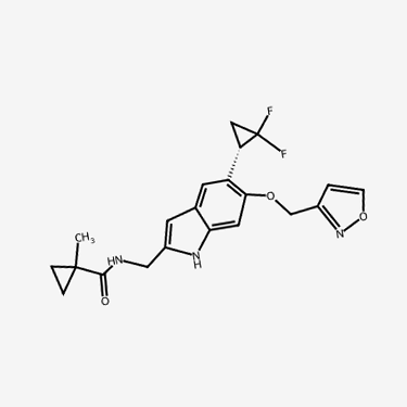 CC1(C(=O)NCc2cc3cc([C@@H]4CC4(F)F)c(OCc4ccon4)cc3[nH]2)CC1